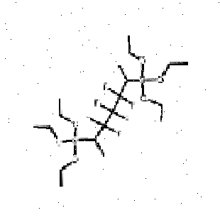 CCO[Si](OCC)(OCC)C(C)C(F)(F)C(F)(F)C(F)(F)C(C)[Si](OCC)(OCC)OCC